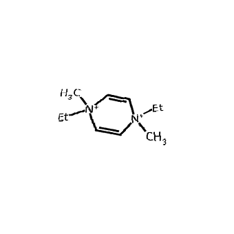 CC[N+]1(C)C=C[N+](C)(CC)C=C1